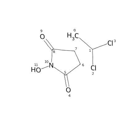 CC(Cl)Cl.O=C1CCC(=O)N1O